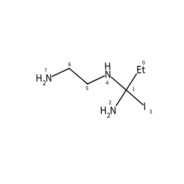 CCC(N)(I)NCCN